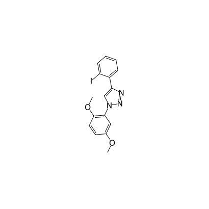 COc1ccc(OC)c(-n2cc(-c3ccccc3I)nn2)c1